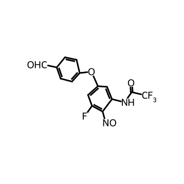 O=Cc1ccc(Oc2cc(F)c(N=O)c(NC(=O)C(F)(F)F)c2)cc1